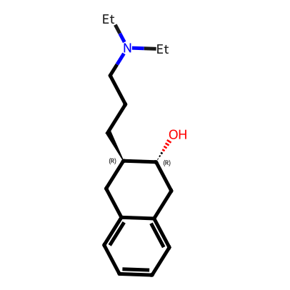 CCN(CC)CCC[C@@H]1Cc2ccccc2C[C@H]1O